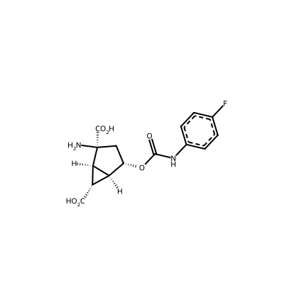 N[C@@]1(C(=O)O)C[C@H](OC(=O)Nc2ccc(F)cc2)[C@H]2[C@H](C(=O)O)[C@H]21